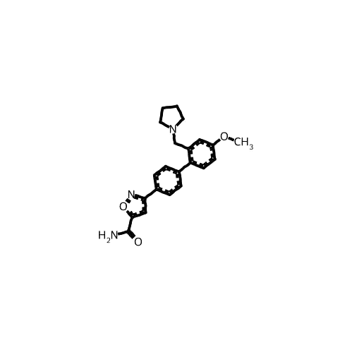 COc1ccc(-c2ccc(-c3cc(C(N)=O)on3)cc2)c(CN2CCCC2)c1